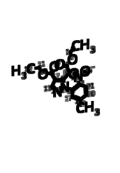 CCOC(=O)Cc1c(C(=O)OCC)cnn1-c1cc(C)ccc1[N+](=O)[O-]